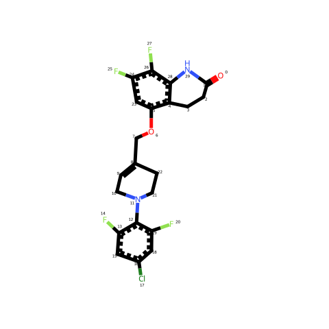 O=C1CCc2c(OCC3=CCN(c4c(F)cc(Cl)cc4F)CC3)cc(F)c(F)c2N1